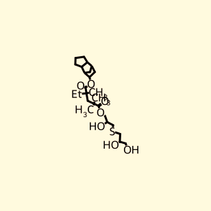 CCC(C)(CC(C)(C)C(=O)OCC(O)CSCC(O)CO)C(=O)OC1CC2CC1C1CCCC21